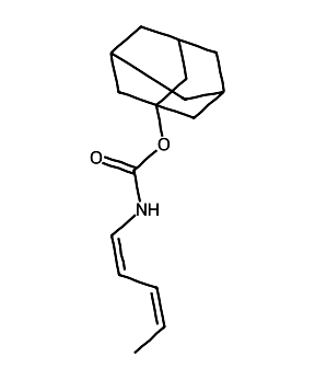 C/C=C\C=C/NC(=O)OC12CC3CC(CC(C3)C1)C2